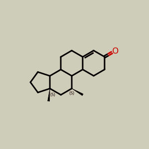 C[C@H]1C[C@]2(C)CCCC2C2CCC3=CC(=O)CCC3C21